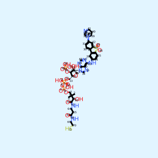 CC(C)(COP(=O)(O)OP(=O)(O)OC[C@H]1O[11C@@H](n2cnc3c(Nc4ccc5c(c4)-c4ccc(N6CCN7CCC6CC7)cc4S5(=O)=O)ncnc32)[C@H](O)[C@@H]1OP(=O)(O)O)[C@@H](O)C(=O)NCCC(=O)NCCS